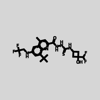 Cc1cc(C(=O)NNC(=S)NC2CC(O)(C(F)F)C2)nc2c(C(C)(C)C)cc(NCC(F)(F)F)cc12